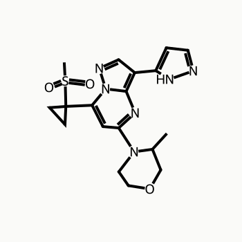 CC1COCCN1c1cc(C2(S(C)(=O)=O)CC2)n2ncc(-c3ccn[nH]3)c2n1